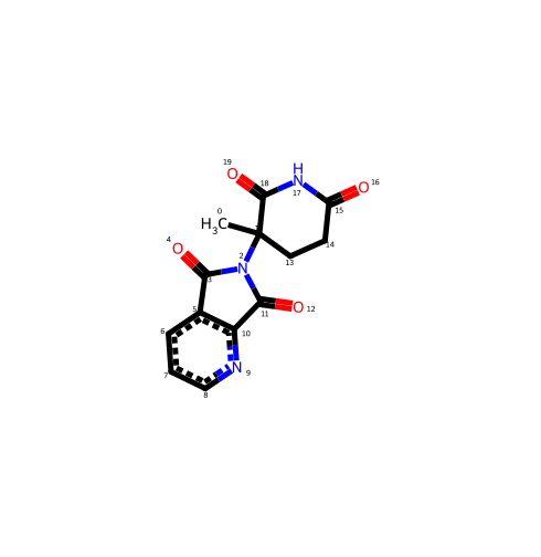 CC1(N2C(=O)c3cccnc3C2=O)CCC(=O)NC1=O